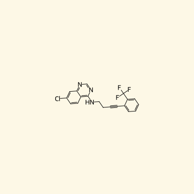 FC(F)(F)c1ccccc1C#CCCNc1ncnc2cc(Cl)ccc12